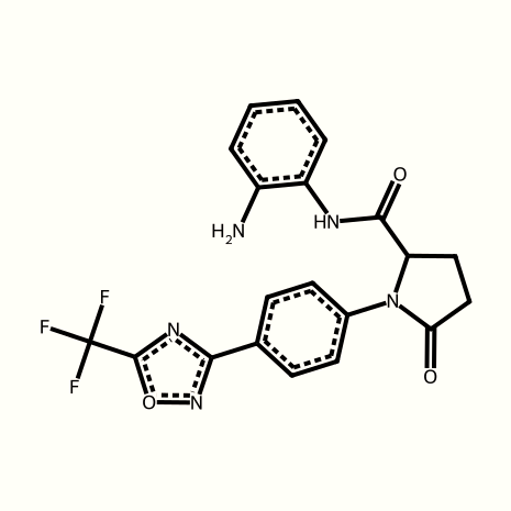 Nc1ccccc1NC(=O)C1CCC(=O)N1c1ccc(-c2noc(C(F)(F)F)n2)cc1